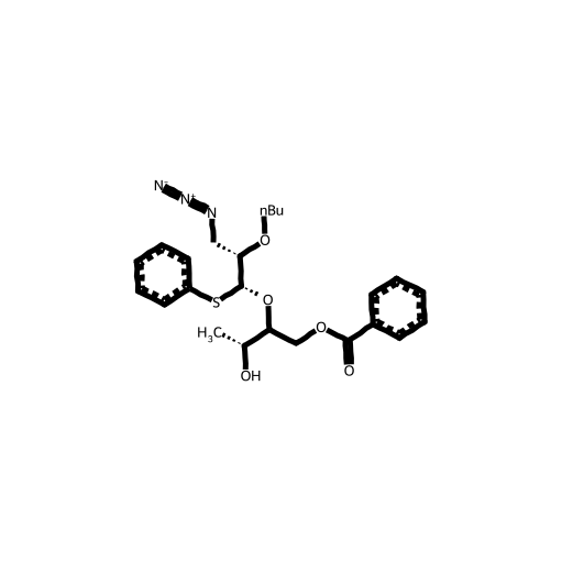 CCCCO[C@@H](CN=[N+]=[N-])[C@H](OC(COC(=O)c1ccccc1)[C@@H](C)O)Sc1ccccc1